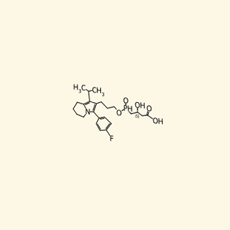 CC(C)c1c(CCCO[PH](=O)C[C@@H](O)CC(=O)O)c(-c2ccc(F)cc2)n2c1CCCC2